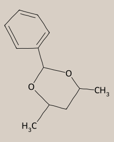 CC1CC(C)OC(c2ccccc2)O1